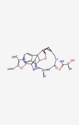 CCCCCCc1oc(-c2nc3oc2C24c5ccccc5NC2Oc2ccc(cc24)C[C@H](NC(=O)[C@@H](O)C(C)C)C(=O)N[C@H]3C(C)C)nc1C=O